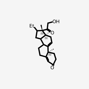 CCC1CC2C3CCC4=CC(=O)CC[C@]4(C)C3=CC[C@]2(C)[C@@]1(C)C(=O)CO